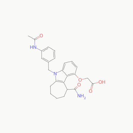 CC(=O)Nc1cccc(Cn2c3c(c4c(OCC(=O)O)cccc42)C(C(N)=O)CCCC3)c1